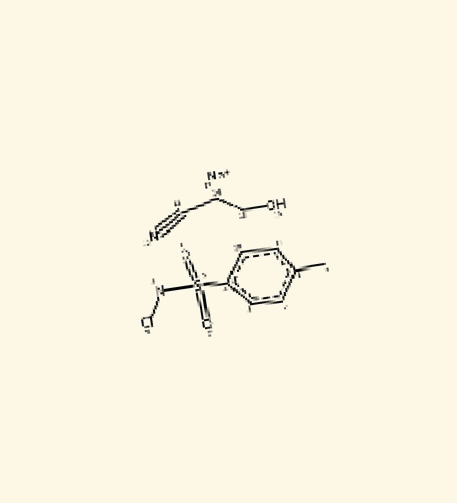 Cc1ccc(S(=O)(=O)[N-]Cl)cc1.N#CCCO.[Na+]